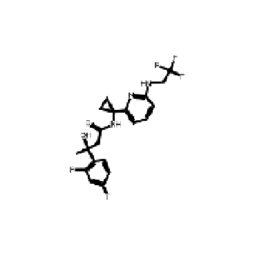 CC(O)(CC(=O)NC1(c2cccc(NCC(F)(F)F)n2)CC1)c1ccc(F)cc1F